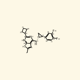 Cc1cc2c(N[C@@H]3C[C@H]3c3ccc(F)c(F)c3)nc(C3CCC3)nc2s1